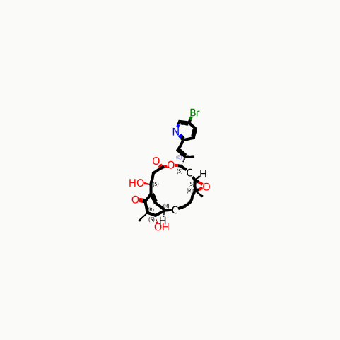 C/C(=C\c1ccc(Br)cn1)[C@@H]1C[C@@H]2O[C@]2(C)CCC[C@@H]2C=C(C(=O)[C@H](C)[C@H]2O)[C@@H](O)CC(=O)O1